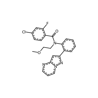 COCCN(C(=O)c1ccc(Cl)cc1F)c1ccc[c]c1-c1cc2ncccn2n1